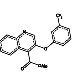 COC(=O)c1c(Oc2cccc(C(F)(F)F)c2)cnc2ccccc12